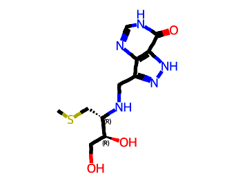 CSC[C@H](NCc1n[nH]c2c(=O)[nH]cnc12)[C@@H](O)CO